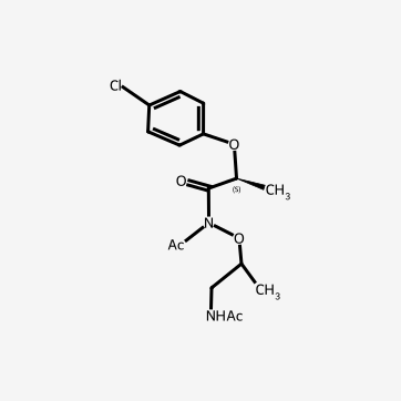 CC(=O)NCC(C)ON(C(C)=O)C(=O)[C@H](C)Oc1ccc(Cl)cc1